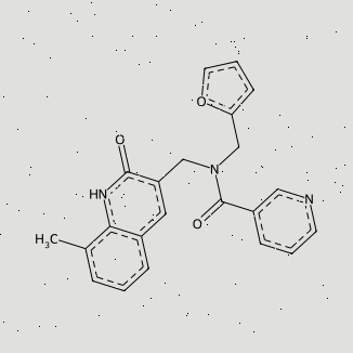 Cc1cccc2cc(CN(Cc3ccco3)C(=O)c3cccnc3)c(=O)[nH]c12